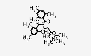 Cc1cc(C)c(C(=O)P(CCC(=O)OC(C)[N+](C)(C)C)C(=O)c2c(C)cc(C)cc2C)c(C)c1.[Cl-]